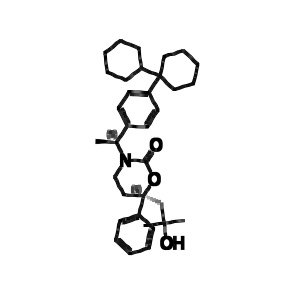 C[C@@H](c1ccc(C2(C3CCCCC3)CCCCC2)cc1)N1CC[C@](CC(C)(C)O)(c2ccccc2)OC1=O